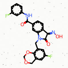 O=C(Nc1cccc(F)c1)c1ccc2c(c1)N(Cc1cc(F)cc3c1OCOC3)C(=O)/C2=N\O